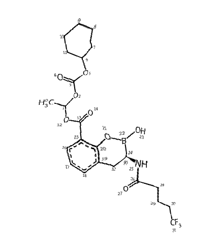 CC(OC(=O)OC1CCCCC1)OC(=O)c1cccc2c1OB(O)[C@@H](NC(=O)CCCC(F)(F)F)C2